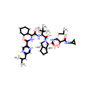 CCC[C@@H](NC(=O)[C@@H]1[C@H]2CCC[C@H]2CN1C(=O)[C@@H](NC(=O)[C@@H](NC(=O)c1cnc(CC(C)C)cn1)C1CCCCC1)C(C)(C)C)C(O)C(=O)NC1CC1